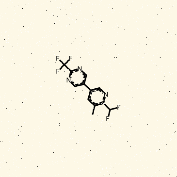 Cc1cc(-c2cnc(C(F)(F)F)nc2)cnc1C(F)F